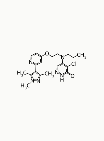 CCCN(CCOc1ccnc(-c2c(C)nn(C)c2C)c1)c1cn[nH]c(=O)c1Cl